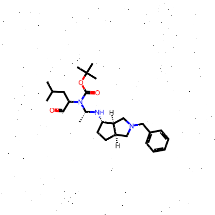 CC(C)CC(C=O)N(C(=O)OC(C)(C)C)[C@@H](C)N[C@H]1CC[C@@H]2CN(Cc3ccccc3)C[C@@H]21